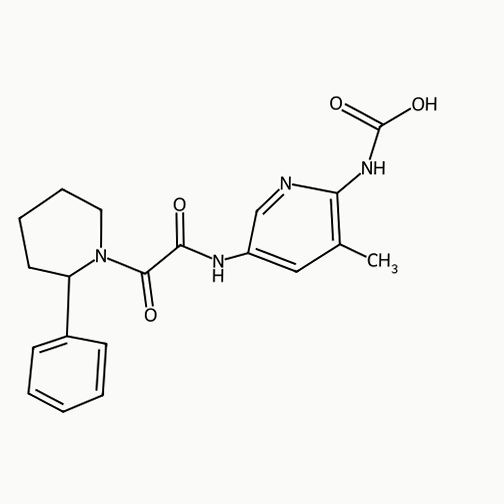 Cc1cc(NC(=O)C(=O)N2CCCCC2c2ccccc2)cnc1NC(=O)O